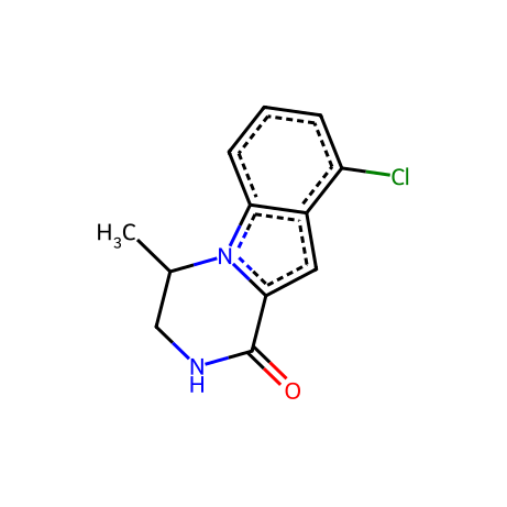 CC1CNC(=O)c2cc3c(Cl)cccc3n21